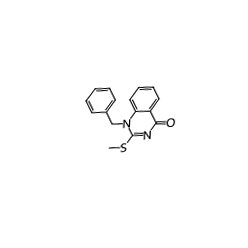 CSc1nc(=O)c2ccccc2n1Cc1ccccc1